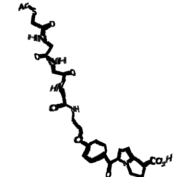 CC(=O)SCC(=O)NCC(=O)NCC(=O)NCC(=O)NCCOc1ccc(C(=O)c2ccc3n2CCC3C(=O)O)cc1